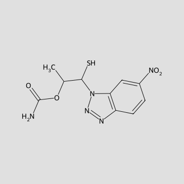 CC(OC(N)=O)C(S)n1nnc2ccc([N+](=O)[O-])cc21